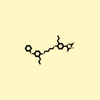 CCCc1cc(Oc2ccccc2)ccc1OCCCCOc1ccc(C2SC(=O)NC2=O)cc1CCC